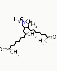 CCCCCCCCC(C)CCCCCCC(C)CC(CN(C)C)C(C)CCCCCCC(C)CCCCCCCC